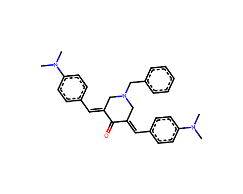 CN(C)c1ccc(C=C2CN(Cc3ccccc3)CC(=Cc3ccc(N(C)C)cc3)C2=O)cc1